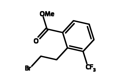 COC(=O)c1cccc(C(F)(F)F)c1CCBr